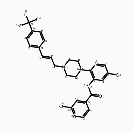 O=C(Nc1cc(Cl)cnc1N1CCN(C/C=C/c2ccc(C(F)(F)F)cc2)CC1)c1ccnc(Cl)c1